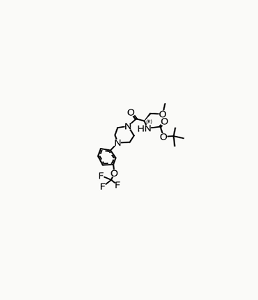 COC[C@@H](NC(=O)OC(C)(C)C)C(=O)N1CCN(c2cccc(OC(F)(F)F)c2)CC1